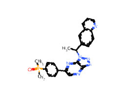 CC(c1ccc2ncccc2c1)n1nnc2ncc(-c3ccc(P(C)(C)=O)cc3)nc21